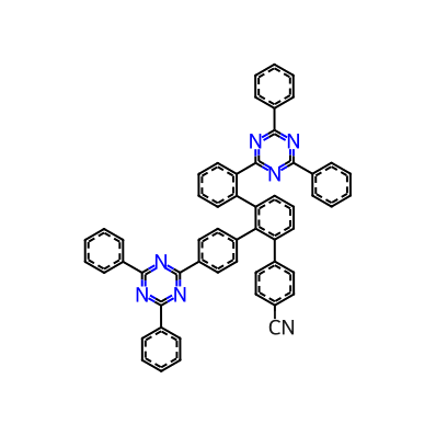 N#Cc1ccc(-c2cccc(-c3ccccc3-c3nc(-c4ccccc4)nc(-c4ccccc4)n3)c2-c2ccc(-c3nc(-c4ccccc4)nc(-c4ccccc4)n3)cc2)cc1